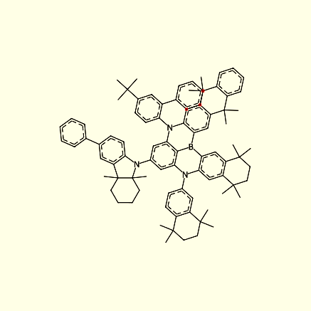 CC(C)(C)c1ccc(N2c3cc4c(cc3B3c5cc6c(cc5N(c5ccc7c(c5)C(C)(C)CCC7(C)C)c5cc(N7c8ccc(-c9ccccc9)cc8C8(C)CCCCC78C)cc2c53)C(C)(C)CCC6(C)C)C(C)(C)c2ccccc2C4(C)C)c(-c2ccccc2)c1